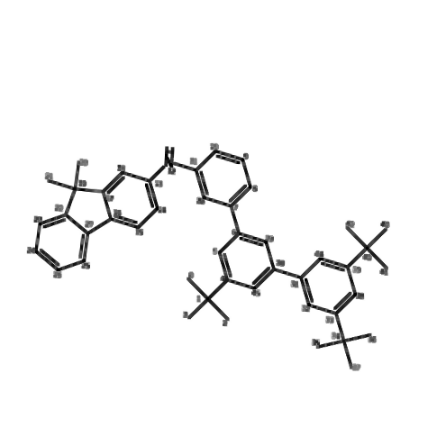 CC(C)(C)c1cc(-c2cccc(Nc3ccc4c(c3)C(C)(C)c3ccccc3-4)c2)cc(-c2cc(C(C)(C)C)cc(C(C)(C)C)c2)c1